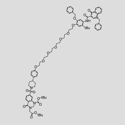 CC(C)(C)OC(=O)CN1CN(C(=O)OC(C)(C)C)c2cc(S(=O)(=O)N3CCC(c4ccc(OCCOCCOCCOCCOCCOCCOc5cc(C(C)(C)C)c(NC(=O)c6cn(Cc7ccccc7)c7ccccc7c6=O)cc5OCc5ccccc5)cc4)CC3)ccc2C1=O